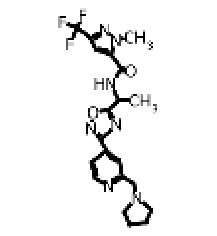 CC(NC(=O)c1cc(C(F)(F)F)nn1C)c1nc(-c2ccnc(CN3CCCC3)c2)no1